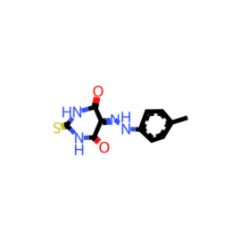 Cc1ccc(NN=C2C(=O)NC(=S)NC2=O)cc1